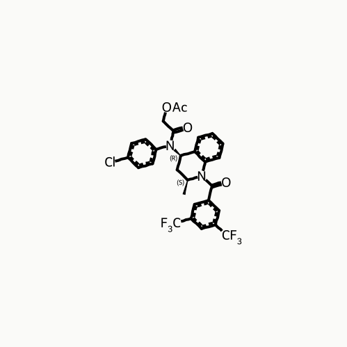 CC(=O)OCC(=O)N(c1ccc(Cl)cc1)[C@@H]1C[C@H](C)N(C(=O)c2cc(C(F)(F)F)cc(C(F)(F)F)c2)c2ccccc21